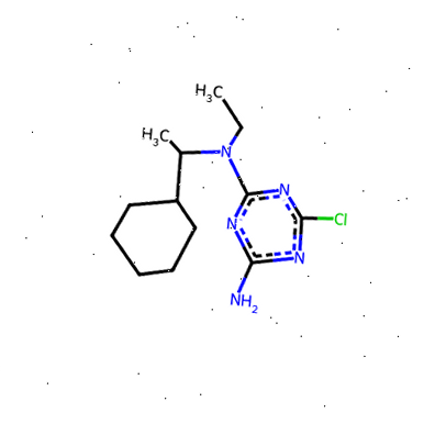 CCN(c1nc(N)nc(Cl)n1)C(C)C1CCCCC1